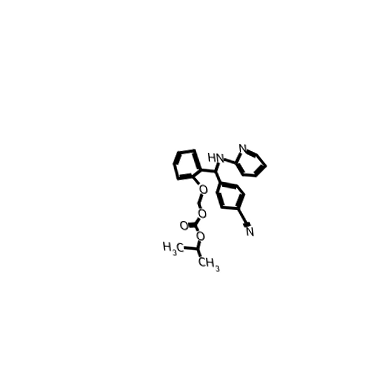 CC(C)OC(=O)OCOc1ccccc1C(Nc1ccccn1)c1ccc(C#N)cc1